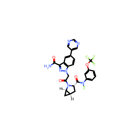 NC(=O)c1nn(CC(=O)N2[C@@H]3C[C@@H]3C[C@H]2C(=O)N(F)c2cccc(OC(F)(F)F)c2)c2ccc(-c3cncnc3)cc12